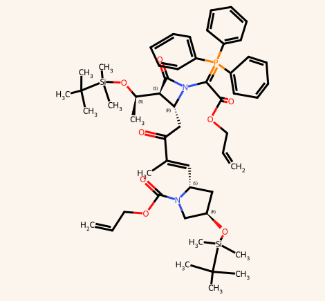 C=CCOC(=O)C(N1C(=O)[C@H]([C@@H](C)O[Si](C)(C)C(C)(C)C)[C@H]1CC(=O)C(C)=C[C@@H]1C[C@@H](O[Si](C)(C)C(C)(C)C)CN1C(=O)OCC=C)=P(c1ccccc1)(c1ccccc1)c1ccccc1